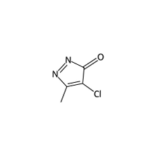 CC1=C(Cl)C(=O)N=N1